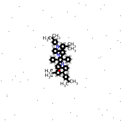 CC(C)c1ccc(C(c2ccc(C(C)C)cc2)c2cccc3c2c2cccc4c5c(-c6ccccc6)c6c(c(-c7ccccc7)c5n3c24)c2cccc3c4c(N(c5ccc(C(C)C)cc5)c5ccc(C(C)C)cc5)cccc4n6c32)cc1